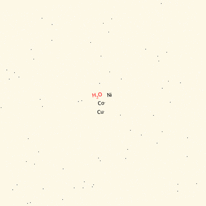 O.[Co].[Cu].[Ni]